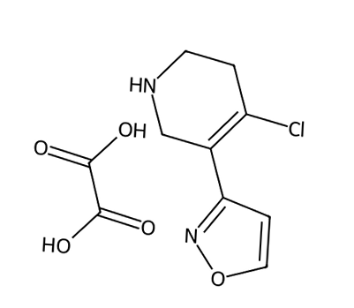 ClC1=C(c2ccon2)CNCC1.O=C(O)C(=O)O